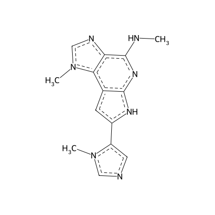 CNc1nc2[nH]c(-c3cncn3C)cc2c2c1ncn2C